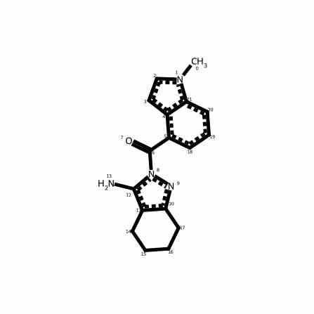 Cn1ccc2c(C(=O)n3nc4c(c3N)CCCC4)cccc21